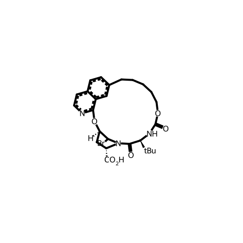 CC(C)(C)[C@@H]1NC(=O)OCCCCCc2ccc3ccnc(c3c2)O[C@@H]2C[C@@H](C(=O)O)N(C1=O)C2Br